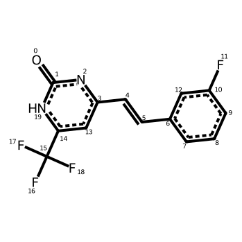 O=c1nc(/C=C/c2cccc(F)c2)cc(C(F)(F)F)[nH]1